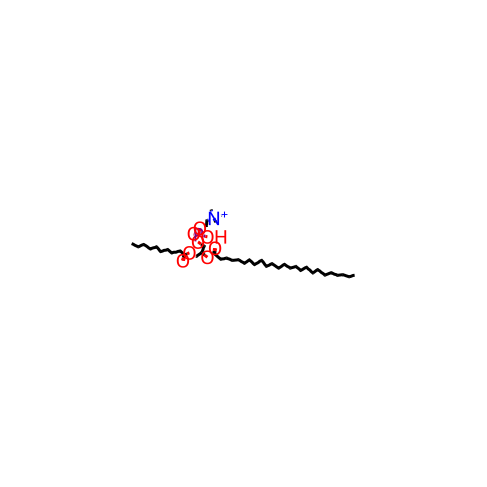 CCCCCCCCCCCCCCCCCCCCCCCCC(=O)OC(COC(=O)CCCCCCCCC)COP(=O)(O)OCC[N+](C)(C)C